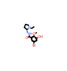 CCN1CCC[C@H]1CNC(=O)c1cc(Br)cc(O)c1OC